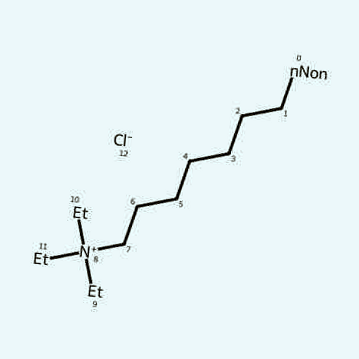 CCCCCCCCCCCCCCCC[N+](CC)(CC)CC.[Cl-]